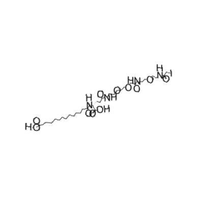 O=C(O)CCCCCCCCCCCCC(=O)N[C@H](CCC(=O)NCCOCCOCC(=O)NCCOCCNC(=O)CI)C(=O)O